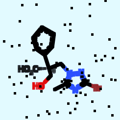 Cc1nc(Br)nn1C[C@](CO)(C(=O)O)c1ccccc1